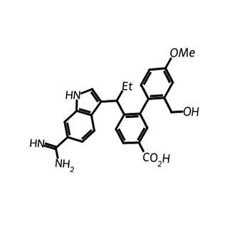 CCC(c1ccc(C(=O)O)cc1-c1ccc(OC)cc1CO)c1c[nH]c2cc(C(=N)N)ccc12